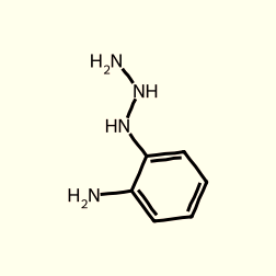 NNNc1ccccc1N